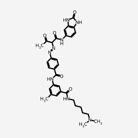 CC(=O)C(N=Nc1ccc(C(=O)Nc2cc(C)cc(C(=O)NCCCCCN(C)C)c2)cc1)C(=O)Nc1ccc2[nH]c(=O)[nH]c2c1